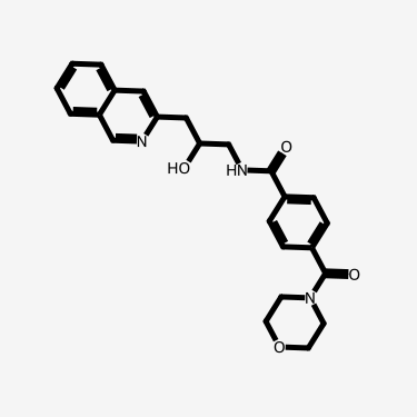 O=C(NCC(O)Cc1cc2ccccc2cn1)c1ccc(C(=O)N2CCOCC2)cc1